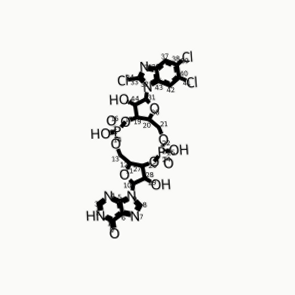 O=c1[nH]cnc2c1ncn2C1OC2COP(=O)(O)OC3C(COP(=O)(O)OC2C1O)OC(n1c(Cl)nc2cc(Cl)c(Cl)cc21)C3O